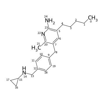 CCCCCc1cc(Cc2ccc(CNC3CC3)cc2)c(C)nc1N